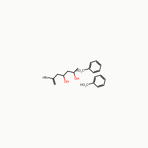 C=C(CCCC)CC(O)CC(C)O.O=C(O)c1ccccc1.O=C(O)c1ccccc1